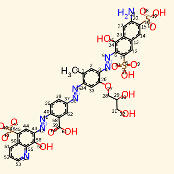 Cc1cc(/N=N/c2c(S(=O)(=O)O)cc3cc(S(=O)(=O)O)c(N)cc3c2O)c(OCC(O)CO)cc1/N=N/c1ccc(/N=N/c2cc(S(=O)(=O)O)c3cccnc3c2O)c(C(=O)O)c1